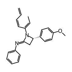 C=C/C=C\C(=C/C)N1/C(=N/c2ccccc2)C[C@H]1c1ccc(OC)cc1